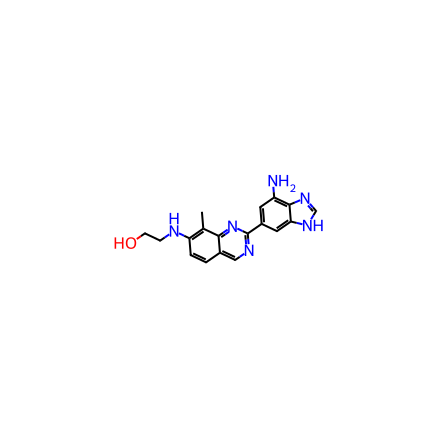 Cc1c(NCCO)ccc2cnc(-c3cc(N)c4nc[nH]c4c3)nc12